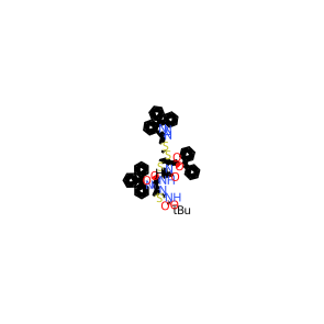 CC(C)(C)OC(=O)Nc1nc(/C(=N/OC(c2ccccc2)(c2ccccc2)c2ccccc2)C(=O)N[C@@H]2C(=O)N3C(C(=O)OC(c4ccccc4)c4ccccc4)=C(SCSCc4cn(C(c5ccccc5)(c5ccccc5)c5ccccc5)nn4)CS[C@H]23)cs1